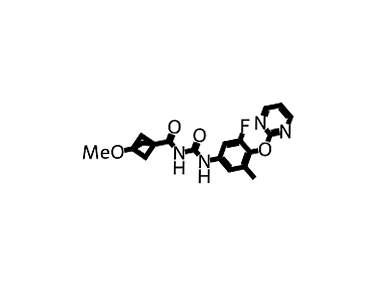 COC12CC(C(=O)NC(=O)Nc3cc(C)c(Oc4ncccn4)c(F)c3)(C1)C2